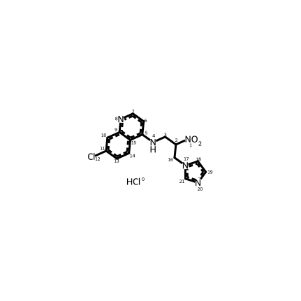 Cl.O=[N+]([O-])C(CNc1ccnc2cc(Cl)ccc12)Cn1ccnc1